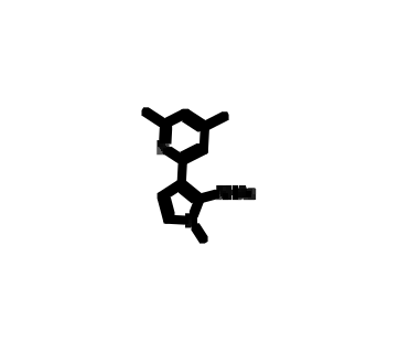 CC(=O)Nc1c(-c2cc(C)cc(C)n2)ccn1C